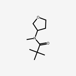 CN(C(=O)C(C)(C)C)C1CCOC1